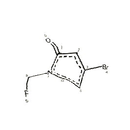 O=c1cc(Br)ccn1CF